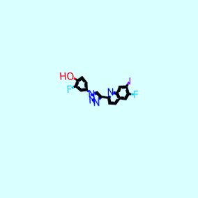 Oc1ccc(-n2cc(-c3ccc4cc(F)c(I)cc4n3)nn2)cc1F